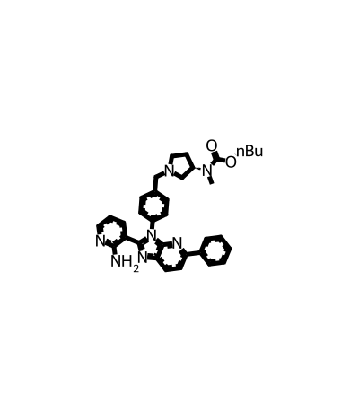 CCCCOC(=O)N(C)[C@H]1CCN(Cc2ccc(-n3c(-c4cccnc4N)nc4ccc(-c5ccccc5)nc43)cc2)C1